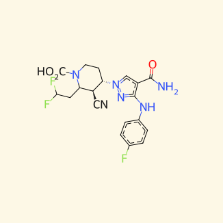 N#C[C@H]1C(CC(F)F)N(C(=O)O)CC[C@@H]1n1cc(C(N)=O)c(Nc2ccc(F)cc2)n1